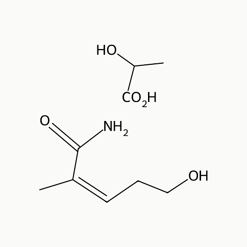 CC(=CCCO)C(N)=O.CC(O)C(=O)O